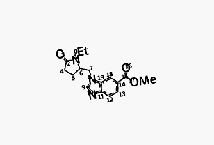 CCN1C(=O)CCC1Cn1cnc2ccc(C(=O)OC)cc21